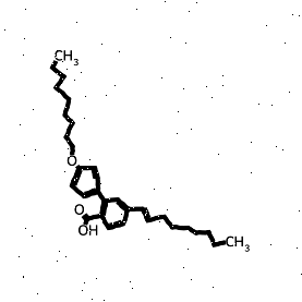 CCCCCCCC=Cc1ccc(C(=O)O)c(-c2ccc(OCCCCCCCCC)cc2)c1